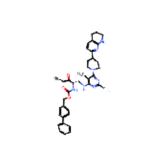 Cc1nc(NC[C@H](NC(=O)OCc2ccc(-c3ccccc3)cc2)C(=O)CC(C)(C)C)c(C)c(N2CCC(c3ccc4c(n3)NCCC4)CC2)n1